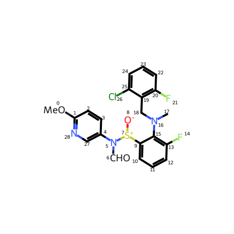 COc1ccc(N(C=O)[S+]([O-])c2cccc(F)c2N(C)Cc2c(F)cccc2Cl)cn1